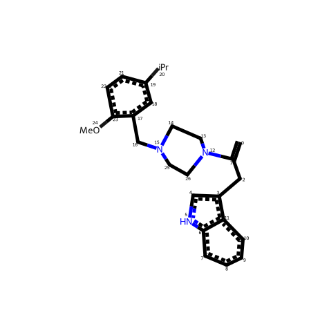 C=C(Cc1c[nH]c2ccccc12)N1CCN(Cc2cc(C(C)C)ccc2OC)CC1